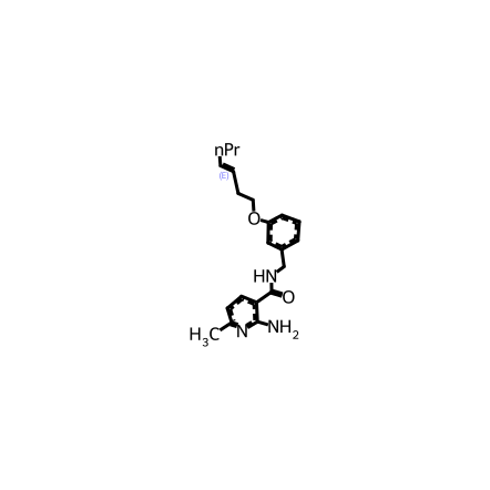 CCC/C=C/CCOc1cccc(CNC(=O)c2ccc(C)nc2N)c1